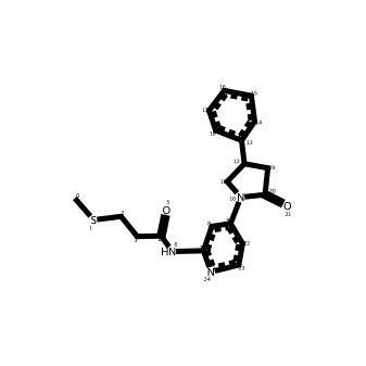 CSCCC(=O)Nc1cc(N2CC(c3ccccc3)CC2=O)ccn1